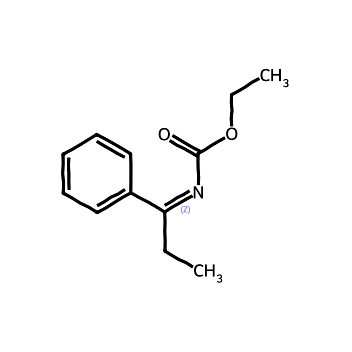 CCOC(=O)/N=C(/CC)c1ccccc1